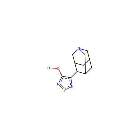 CCOc1nsnc1C1C2CC3CC1CN(C3)C2